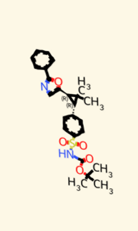 CC(C)(C)OC(=O)NS(=O)(=O)c1ccc([C@@H]2[C@@H](c3cnc(-c4ccccc4)o3)C2(C)C)cc1